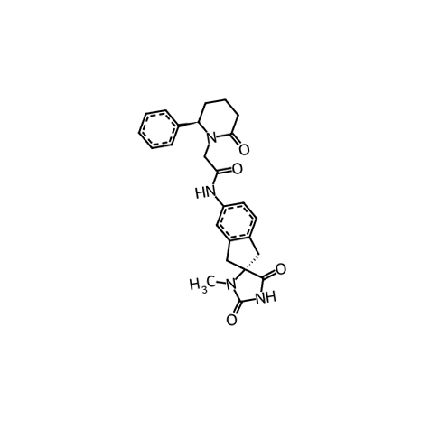 CN1C(=O)NC(=O)[C@@]12Cc1ccc(NC(=O)CN3C(=O)CCC[C@@H]3c3ccccc3)cc1C2